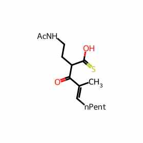 CCCCC/C=C(\C)C(=O)C(CCNC(C)=O)C(O)=S